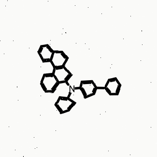 c1ccc(-c2ccc(N(c3ccccc3)c3cc4ccc5ccccc5c4c4ccccc34)cc2)cc1